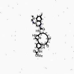 C=N/N=C\N(N)c1ccc(C)cc1/C=C/C(=O)N[C@H]1CCC[C@@H](C)CC(=O)Nc2cc(NC(=O)OC)ccc2-c2c[nH]c1n2